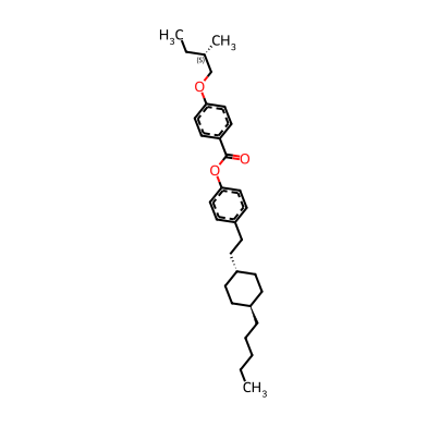 CCCCC[C@H]1CC[C@H](CCc2ccc(OC(=O)c3ccc(OC[C@@H](C)CC)cc3)cc2)CC1